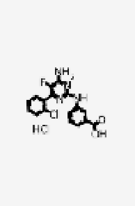 Cl.Nc1nc(Nc2cccc(C(=O)O)c2)nc(-c2ccccc2Cl)c1F